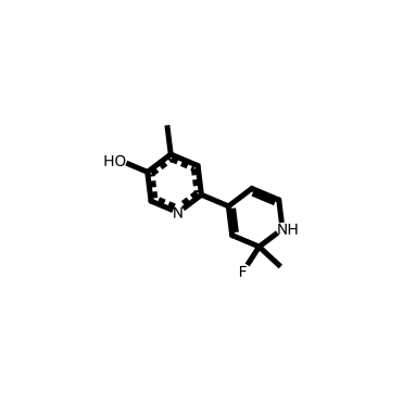 Cc1cc(C2=CC(C)(F)NC=C2)ncc1O